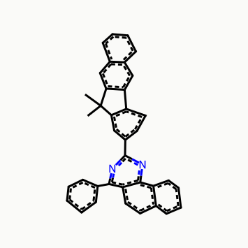 CC1(C)c2cc(-c3nc(-c4ccccc4)c4ccc5ccccc5c4n3)ccc2-c2cc3ccccc3cc21